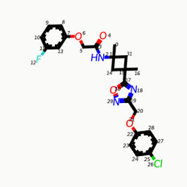 CC1(NC(=O)COc2cccc(F)c2)CC(C)(c2nc(COc3ccc(Cl)cc3)no2)C1